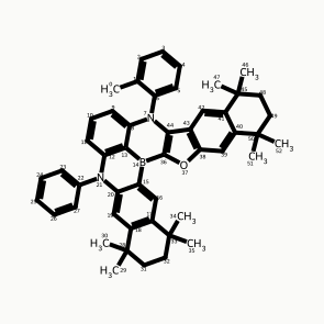 Cc1ccccc1N1c2cccc3c2B(c2cc4c(cc2N3c2ccccc2)C(C)(C)CCC4(C)C)c2oc3cc4c(cc3c21)C(C)(C)CCC4(C)C